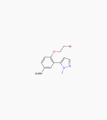 CC(=O)Nc1ccc(OCCBr)c(-c2ccnn2C)c1